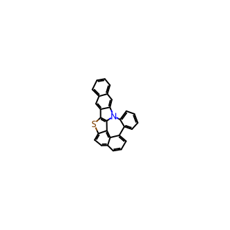 c1ccc2cc3c(cc2c1)c1sc2ccc4cccc5c6ccccc6n3c1c2c45